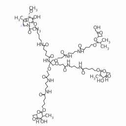 COC[C@H]1OC(N(/C=C\C(C)=O)C(C)=O)[C@H](OCCCCCCNC(=O)CCCC(=O)NC(COCCC(=O)NCCCNC(=O)CCCCO[C@H](OC2CO[C@@H]2CO)C(C)C)(COCCC(=O)NCCCNC(=O)CCCCO[C@@H]2OC3CO[C@@H]3[C@H](O)C2C)COCCC(=O)NCCCNC(=O)CCCCO[C@@H]2OC3CO[C@@H]3C(O)[C@@H]2C)[C@@H]1O